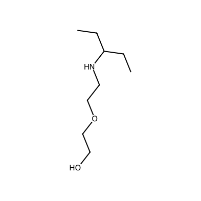 CCC(CC)NCCOCCO